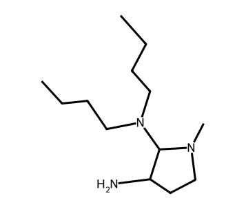 CCCCN(CCCC)C1C(N)CCN1C